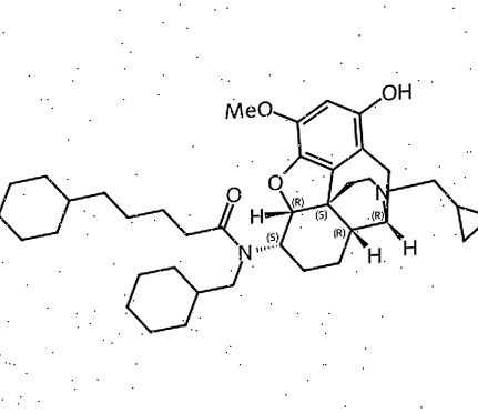 COc1cc(O)c2c3c1O[C@H]1[C@@H](N(CC4CCCCC4)C(=O)CCCCC4CCCCC4)CC[C@H]4[C@@H](C2)N(CC2CC2)CC[C@@]341